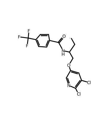 [CH2]CC(COc1cnc(Cl)c(Cl)c1)NC(=O)c1ccc(C(F)(F)F)cc1